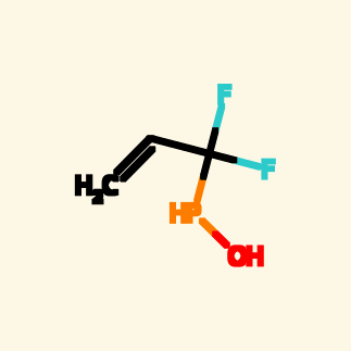 C=CC(F)(F)PO